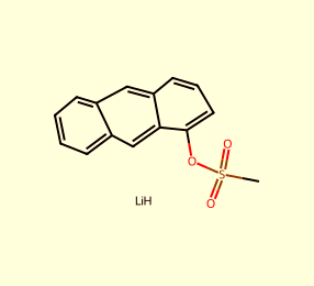 CS(=O)(=O)Oc1cccc2cc3ccccc3cc12.[LiH]